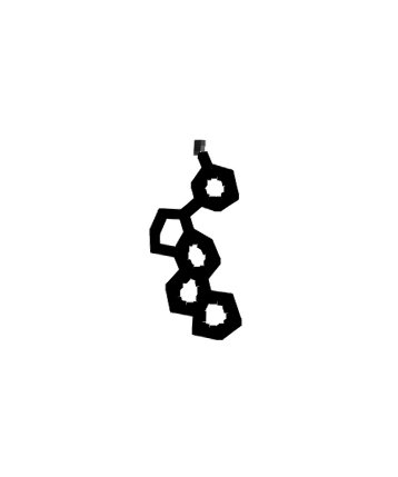 Fc1cccc(C2CCCc3c2ccc2c3ccc3ccccc32)c1